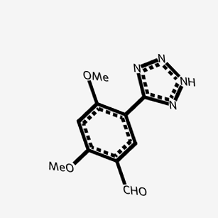 COc1cc(OC)c(-c2nn[nH]n2)cc1C=O